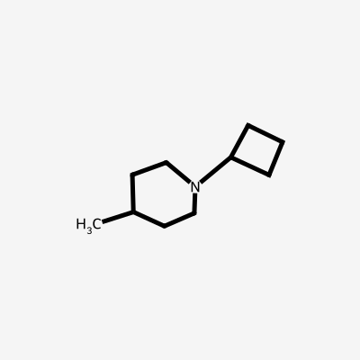 CC1CCN(C2CCC2)CC1